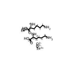 NCCCC[C@H](N)C(=O)O.NCCCC[C@H](N)C(=O)O.[Fe+3].[Fe+3].[O-2].[O-2].[O-2]